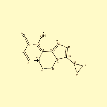 O=c1ccn2c(c1O)-c1ncc(C3CC3)n1CC2